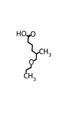 CCCOCC(C)CCCC(=O)O